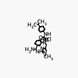 CC(C)c1ccc(NC(=O)CN(Cc2cn(C)cn2)c2cccc(C(=N)N)c2)cc1.Cl.Cl